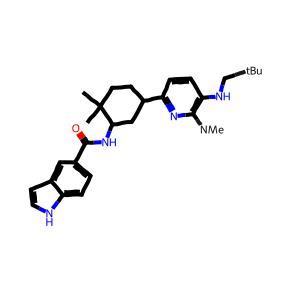 CNc1nc(C2CCC(C)(C)C(NC(=O)c3ccc4[nH]ccc4c3)C2)ccc1NCC(C)(C)C